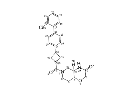 O=C1COC2CCN(C(=O)N3CC(c4ccc(-c5ccccc5Cl)cc4)C3)C[C@H]2N1